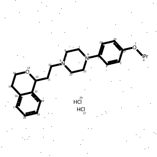 CC(C)Oc1ccc(N2CCN(CCC3OCCc4ccccc43)CC2)cc1.Cl.Cl